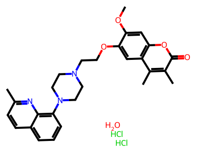 COc1cc2oc(=O)c(C)c(C)c2cc1OCCN1CCN(c2cccc3ccc(C)nc23)CC1.Cl.Cl.O